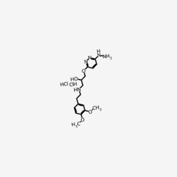 COc1ccc(CCNCC(O)COc2ccc(NN)nn2)cc1OC.Cl.Cl